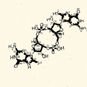 Nc1nc2c(nc(S)n2[C@@H]2O[C@@H]3COP(=O)(O)OC4[C@@H](COP(=O)(O)OC3[C@@H]2O)O[C@@H](n2c(=S)[nH]c3c(=O)[nH]c(N)nc32)[C@H]4O)c(=O)[nH]1